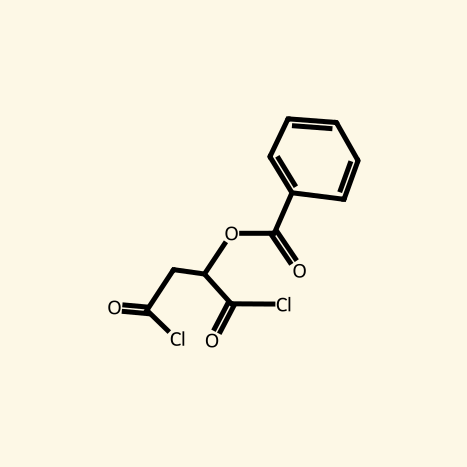 O=C(Cl)CC(OC(=O)c1ccccc1)C(=O)Cl